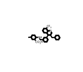 Cc1ccc(NCc2cccc(-c3c(Cc4ccccc4)cnc4c(C(F)(F)F)cccc34)c2)c(C(=O)O)c1